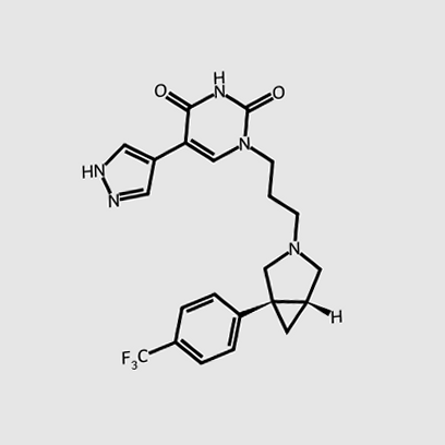 O=c1[nH]c(=O)n(CCCN2C[C@@H]3C[C@]3(c3ccc(C(F)(F)F)cc3)C2)cc1-c1cn[nH]c1